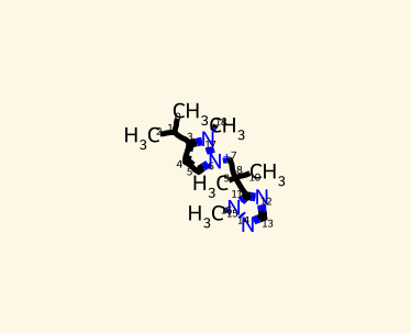 CC(C)c1cc[n+](CC(C)(C)c2ncnn2C)n1C